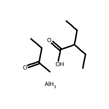 CCC(C)=O.CCC(CC)C(=O)O.[AlH3]